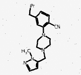 CC(C)Cc1ccc(C#N)c(N2CCN(Cc3ccnn3C)CC2)c1